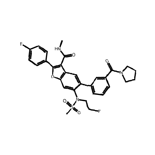 CNC(=O)c1c(-c2ccc(F)cc2)oc2cc(N(CCF)S(C)(=O)=O)c(-c3cccc(C(=O)N4CCCC4)c3)cc12